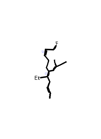 CC=CC/C(CC)=C(\C=C(C)C)CC/C=C\CF